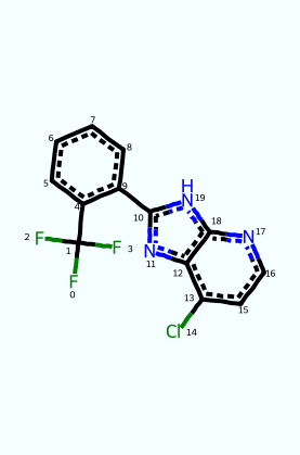 FC(F)(F)c1ccccc1-c1nc2c(Cl)ccnc2[nH]1